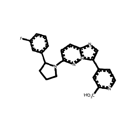 O=C(O)c1cc(-c2cnc3ccc(N4CCCC4c4cccc(F)c4)nn23)ccn1